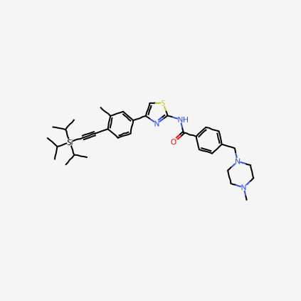 Cc1cc(-c2csc(NC(=O)c3ccc(CN4CCN(C)CC4)cc3)n2)ccc1C#C[Si](C(C)C)(C(C)C)C(C)C